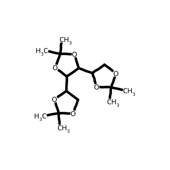 CC1(C)OCC(C2OC(C)(C)OC2C2COC(C)(C)O2)O1